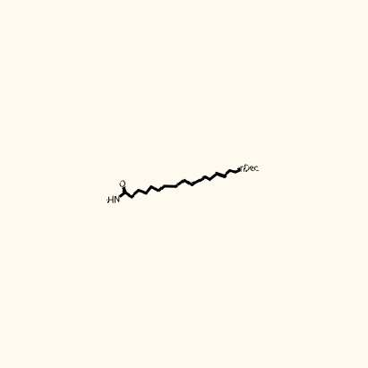 CCCCCCCCCCCCCCCCCCCCCCCCCC([NH])=O